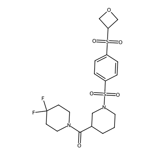 O=C(C1CCCN(S(=O)(=O)c2ccc(S(=O)(=O)C3COC3)cc2)C1)N1CCC(F)(F)CC1